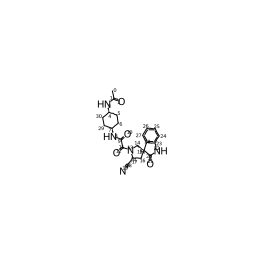 CC(=O)N[C@H]1CC[C@@H](NC(=O)C(=O)N2C[C@]3(C[C@H]2C#N)C(=O)Nc2ccccc23)CC1